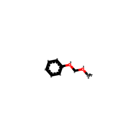 CCCOCOc1c[c]ccc1